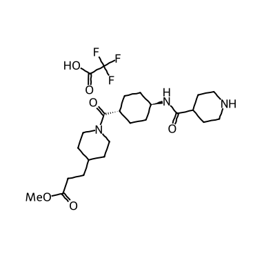 COC(=O)CCC1CCN(C(=O)[C@H]2CC[C@H](NC(=O)C3CCNCC3)CC2)CC1.O=C(O)C(F)(F)F